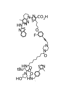 Cc1ncsc1-c1ccc([C@H](C)NC(=O)[C@@H]2C[C@@H](O)CN2C(=O)C(NC(=O)CCCCCCCC(=O)N2CCN(CC#Cc3ccc(OCCCc4sc(N5CCCc6c5nnc(Nc5nc7ccccc7s5)c6C)nc4C(=O)O)c(F)c3)CC2)C(C)(C)C)cc1